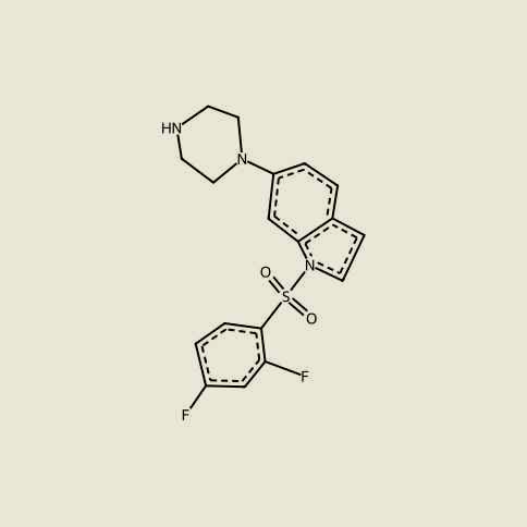 O=S(=O)(c1ccc(F)cc1F)n1ccc2ccc(N3CCNCC3)cc21